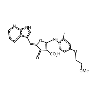 COCCOc1ccc(NC2=C(C(=O)O)C(=O)/C(=C/c3c[nH]c4ncccc34)O2)c(C)c1